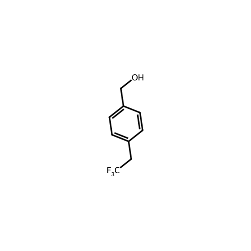 OCc1ccc(CC(F)(F)F)cc1